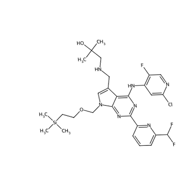 CC(C)(O)CNCc1cn(COCC[Si](C)(C)C)c2nc(-c3cccc(C(F)F)n3)nc(Nc3cc(Cl)ncc3F)c12